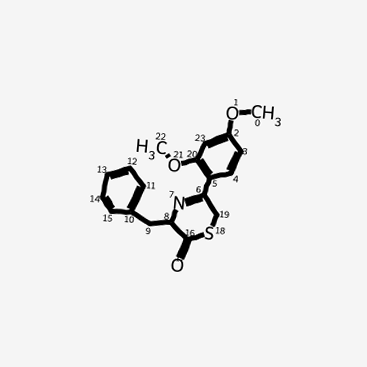 COc1ccc(C2=NC(Cc3ccccc3)C(=O)SC2)c(OC)c1